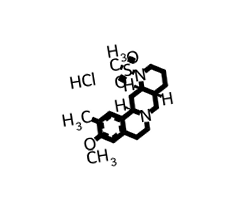 COc1cc2c(cc1C)[C@H]1C[C@H]3[C@H](CCCN3S(C)(=O)=O)CN1CC2.Cl